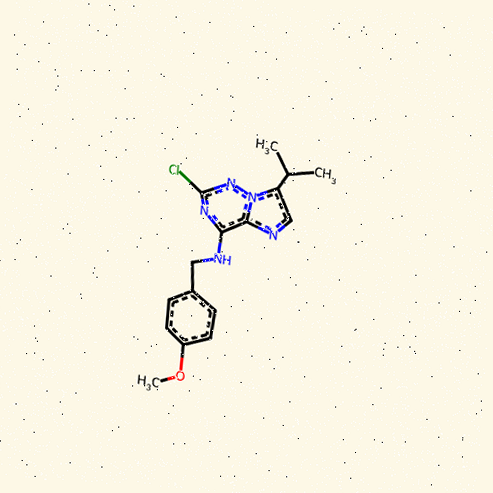 COc1ccc(CNc2nc(Cl)nn3c(C(C)C)cnc23)cc1